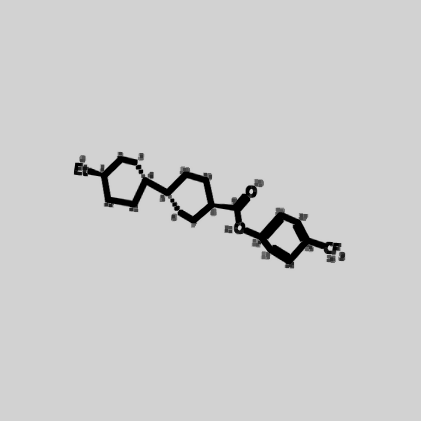 CC[C@H]1CC[C@H]([C@H]2CC[C@H](C(=O)Oc3ccc(C(F)(F)F)cc3)CC2)CC1